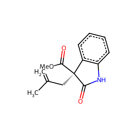 C=C(C)C[C@@]1(C(=O)OC)C(=O)Nc2ccccc21